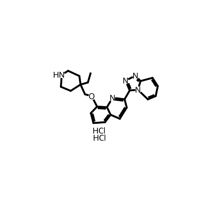 CCC1(COc2cccc3ccc(-c4nnc5ccccn45)nc23)CCNCC1.Cl.Cl